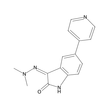 CN(C)N=C1C(=O)Nc2ccc(-c3ccncc3)cc21